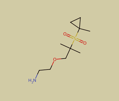 CC(C)(COCCN)S(=O)(=O)C1(C)CC1